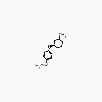 COc1ccc(/N=C2\CCCC(C)C2)cc1